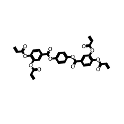 C=CC(=O)Oc1ccc(C(=O)Oc2ccc(OC(=O)c3ccc(OC(=O)C=C)c(OC(=O)C=C)c3)cc2)cc1OC(=O)C=C